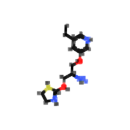 CCc1cncc(OC[C@@H](N)COC2=NCCS2)c1